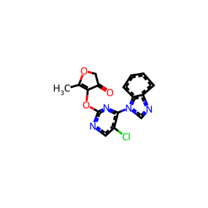 CC1=C(Oc2ncc(Cl)c(-n3cnc4ccccc43)n2)C(=O)CO1